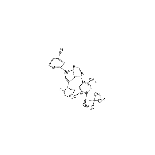 C[C@H]1CN(c2ncnc3c2c(-c2ccccc2F)cn3-c2cc(C#N)ccn2)[C@@H](C)CN1C(=O)C(C)(C)O